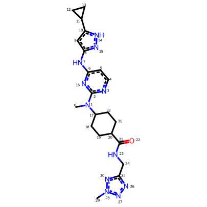 CN(c1nccc(Nc2cc(C3CC3)[nH]n2)n1)C1CCC(C(=O)NCc2nnn(C)n2)CC1